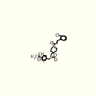 CC(C)(C)c1ccc(CN2CC3(CCN(C(=O)C=Cc4ccccc4Cl)CC3)OC2=O)cc1